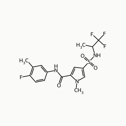 Cc1cc(NC(=O)c2cc(S(=O)(=O)NC(C)C(F)(F)F)cn2C)ccc1F